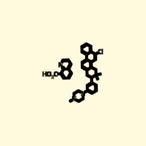 CN1CCN(c2cccc(C3Cc4ccc5c(cc(Cl)c6ccccc65)c4CC3(C)C)c2)CC1.O=C(O)c1cccc2cccnc12